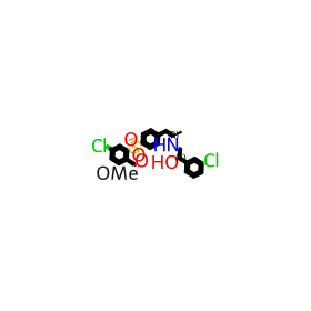 COC(=O)c1ccc(Cl)cc1S(=O)(=O)c1ccc(C[C@@H](C)NC[C@@H](O)c2cccc(Cl)c2)cc1